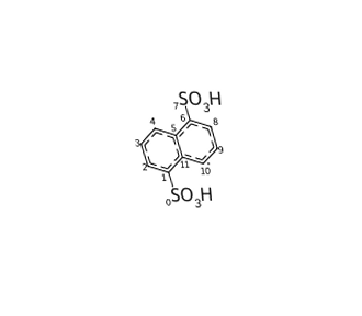 O=S(=O)(O)c1cccc2c(S(=O)(=O)O)cc[c]c12